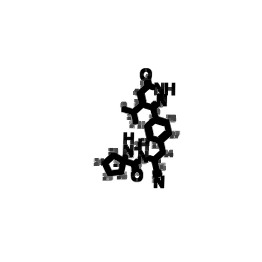 CC(C)c1cc(=O)[nH]nc1-c1ccc(CC(C#N)NC(=O)C2(N)CCCC2)cc1